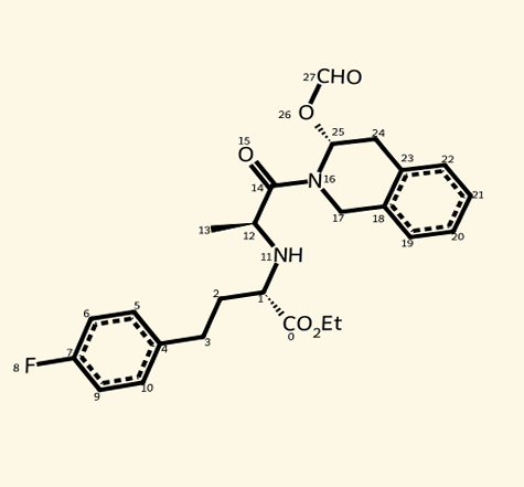 CCOC(=O)[C@H](CCc1ccc(F)cc1)N[C@@H](C)C(=O)N1Cc2ccccc2C[C@H]1OC=O